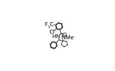 CNC1(C(NC(=O)c2cccc(C(F)(F)F)c2Cl)c2ccccc2)CCCC1